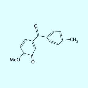 COC1C=CC(C(=O)c2ccc(C)cc2)=CC1=O